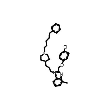 Cc1cccc2c1nc(COc1ccc(Cl)cc1)n2CCCC1CCN(CCCCCc2ccccc2)CC1